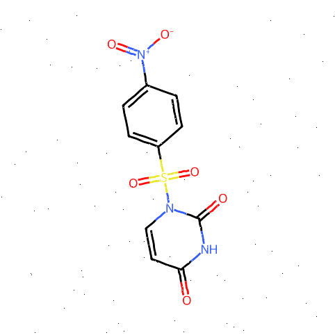 O=c1ccn(S(=O)(=O)c2ccc([N+](=O)[O-])cc2)c(=O)[nH]1